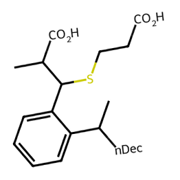 CCCCCCCCCCC(C)c1ccccc1C(SCCC(=O)O)C(C)C(=O)O